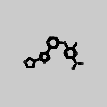 Cc1nc([N+](=O)[O-])ccc1Oc1ccnc(-c2cnn(C3CCOC3)c2)c1